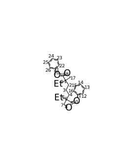 CCC1(CCCC2(CC)COC2Oc2ccccc2)COC1Oc1ccccc1